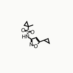 CC1(S(=O)(=O)Nc2cc(C3CC3)on2)CC1